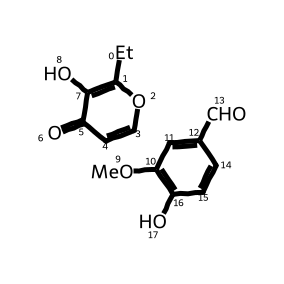 CCc1occc(=O)c1O.COc1cc(C=O)ccc1O